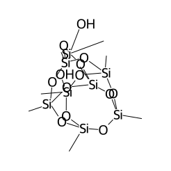 C[Si]1(O)O[Si]2(C)O[Si]3(C)O[Si](C)(O)O[Si]4(C)O[Si](C)(O2)O[Si](C)(O1)O[Si](C)(O3)O4